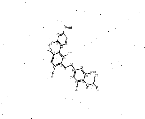 CCCCCc1ccc(-c2c([O])cc(F)c(CCc3cc(F)c(OC(F)F)c(F)c3)c2F)c(F)c1